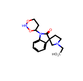 O=C(O)CN1CCC2(C1)C(=O)N(C1CCONO1)c1ccccc12